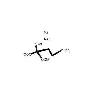 CCCCCCCCCCCCC(CCCCCCCC)(C(=O)[O-])C(=O)[O-].[Na+].[Na+]